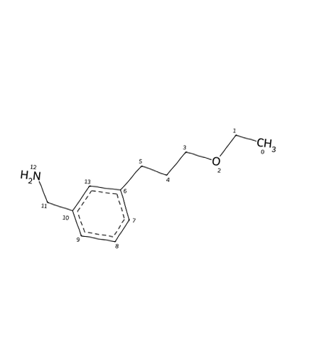 CCOCCCc1cccc(CN)c1